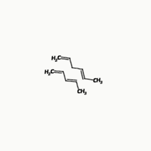 C=CC=CC.C=CCC=CC